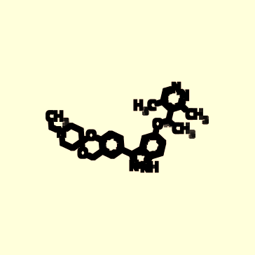 CCN1CCC2(CC1)OCc1cc(-c3n[nH]c4ccc(O[C@H](C)c5c(C)cnnc5C)cc34)ccc1O2